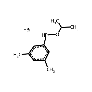 Br.Cc1cc(C)cc(POC(C)C)c1